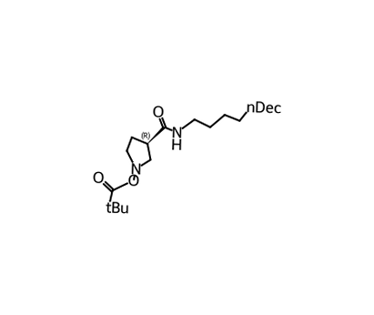 CCCCCCCCCCCCCCNC(=O)[C@@H]1CCN(OC(=O)C(C)(C)C)C1